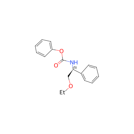 CCOC[C@@H](NC(=O)Oc1ccccc1)c1ccccc1